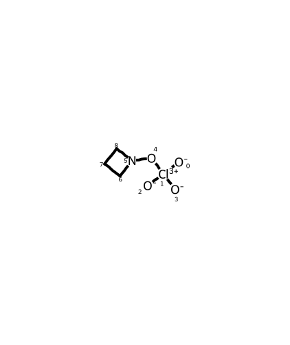 [O-][Cl+3]([O-])([O-])ON1CCC1